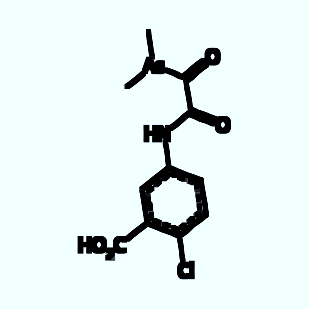 C[As](C)C(=O)C(=O)Nc1ccc(Cl)c(C(=O)O)c1